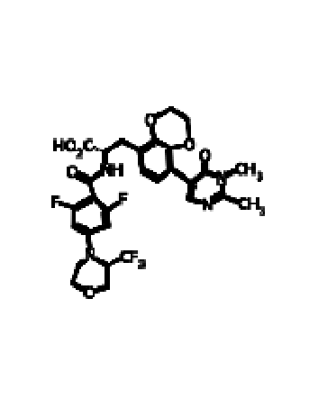 Cc1ncc(-c2ccc(C[C@H](NC(=O)c3c(F)cc(N4CCOC[C@@H]4C(F)(F)F)cc3F)C(=O)O)c3c2OCCO3)c(=O)n1C